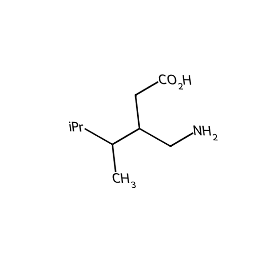 CC(C)C(C)C(CN)CC(=O)O